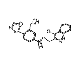 OCc1cc(NCCc2nnc3ccccc3c2Cl)ccc1-c1cnco1